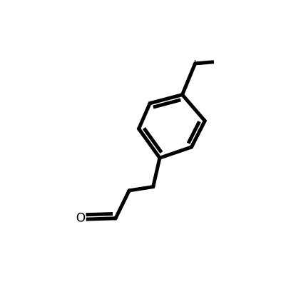 C[CH]c1ccc(CCC=O)cc1